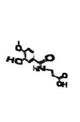 COc1ccc(C(=O)NCCC(=O)O)cc1O